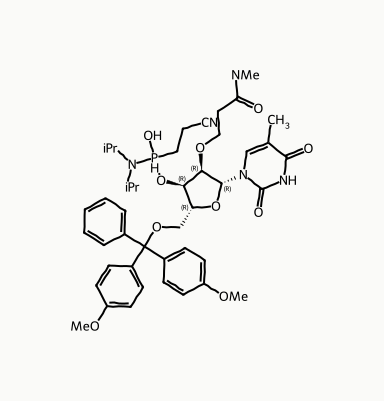 CNC(=O)CCO[C@@H]1[C@H](O[PH](O)(CCC#N)N(C(C)C)C(C)C)[C@@H](COC(c2ccccc2)(c2ccc(OC)cc2)c2ccc(OC)cc2)O[C@H]1n1cc(C)c(=O)[nH]c1=O